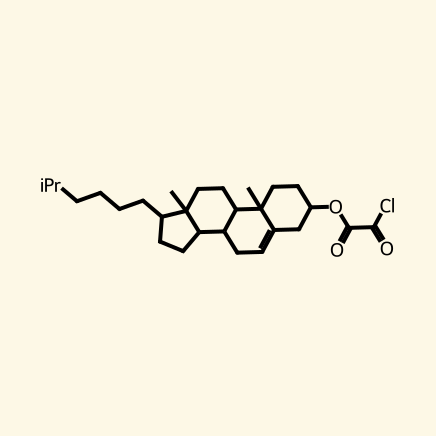 CC(C)CCCCC1CCC2C3CC=C4CC(OC(=O)C(=O)Cl)CCC4(C)C3CCC12C